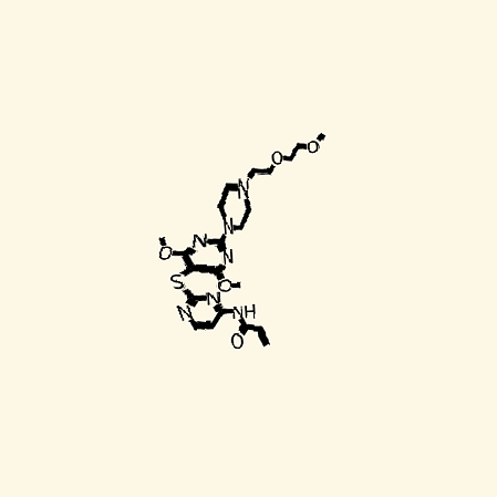 C=CC(=O)Nc1ccnc(Sc2c(OC)nc(N3CCN(CCOCCOC)CC3)nc2OC)n1